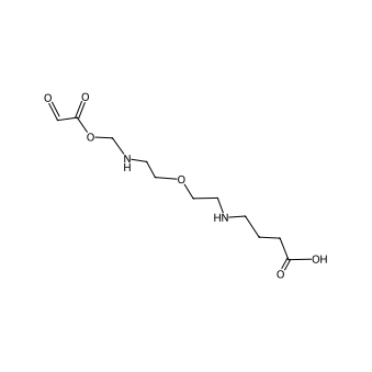 O=CC(=O)OCNCCOCCNCCCC(=O)O